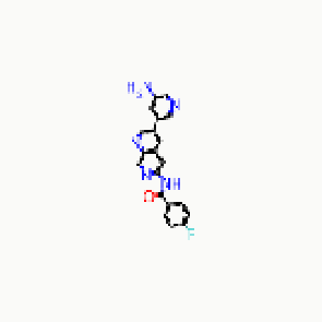 Nc1cncc(-c2cnc3cnc(NC(=O)c4ccc(F)cc4)cc3c2)c1